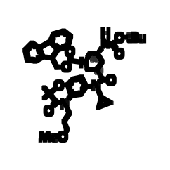 COCCCN1C(=O)C(C)(C)Oc2ccc(N(C(=O)[C@@H]3C[C@H](NC(=O)OC(C)(C)C)CN(C(=O)OCC4c5ccccc5-c5ccccc54)C3)C3CC3)cc21